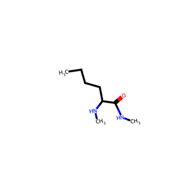 CCCCC(NC)C(=O)NC